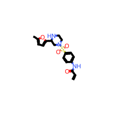 C=CC(=O)Nc1ccc(S(=O)(=O)N2CCNC(c3ccc(C)o3)C2)cc1